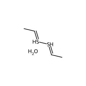 CC=[SH][SH]=CC.O